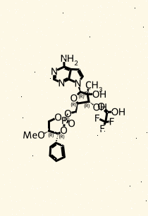 CO[C@@H]1CO[P@](=O)(OC[C@H]2O[C@@H](n3ccc4c(N)ncnc43)[C@](C)(O)[C@@H]2O)O[C@@H]1c1ccccc1.O=C(O)C(F)(F)F